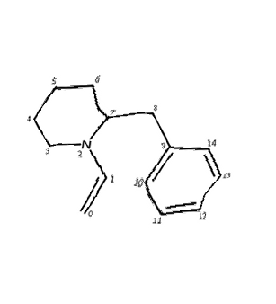 C=CN1CCCCC1Cc1ccccc1